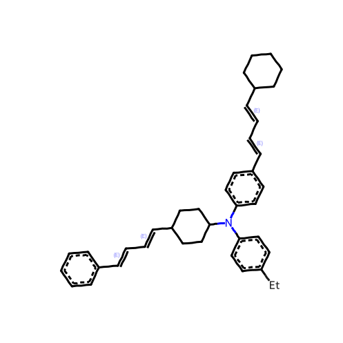 CCc1ccc(N(c2ccc(/C=C/C=C/C3CCCCC3)cc2)C2CCC(/C=C/C=C/c3ccccc3)CC2)cc1